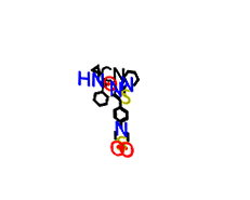 N#CC1(NC(=O)[C@@H]2CCCC[C@H]2c2nc(N3CCCCC3)sc2-c2ccc(N3CCS(=O)(=O)CC3)cc2)CC1